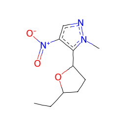 CCC1CCC(c2c([N+](=O)[O-])cnn2C)O1